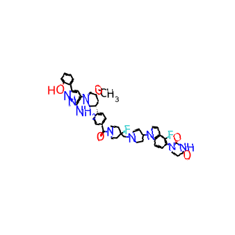 CO[C@@H]1C[C@H](c2ccc(C(=O)N3CCC(F)(CN4CCC(n5ccc6c(F)c(N7CCC(=O)NC7=O)ccc65)CC4)CC3)cc2)CN(c2cc(-c3ccccc3O)nnc2N)C1